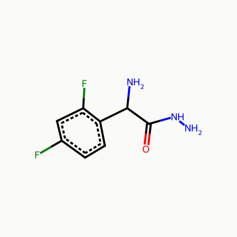 NNC(=O)C(N)c1ccc(F)cc1F